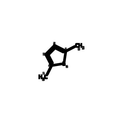 CC1=C=C=C(C)S1